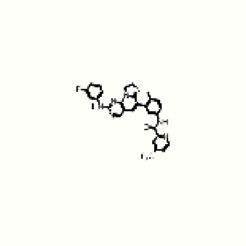 Cc1ccc(NC(=O)c2cc(C(F)(F)F)ccn2)cc1C1=Cc2cnc(Nc3cccc(F)c3)nc2N2CCN=C12